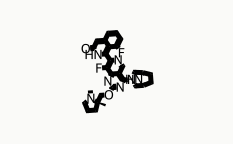 CN1CCC[C@@]1(C)COc1nc(N2CC3CCC(C2)N3)c2cnc(-c3[nH]c(=O)cc4cccc(F)c34)c(F)c2n1